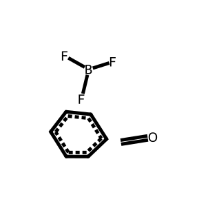 C=O.FB(F)F.c1ccccc1